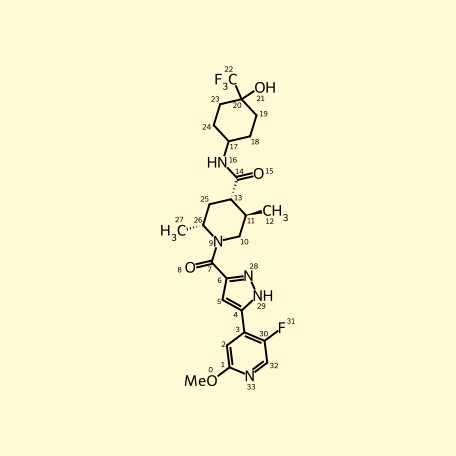 COc1cc(-c2cc(C(=O)N3C[C@H](C)[C@@H](C(=O)NC4CCC(O)(C(F)(F)F)CC4)C[C@H]3C)n[nH]2)c(F)cn1